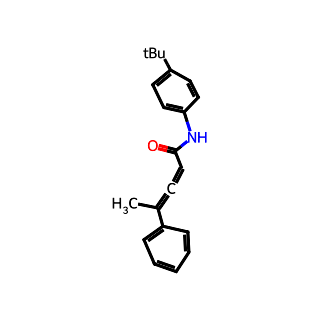 CC(=C=CC(=O)Nc1ccc(C(C)(C)C)cc1)c1ccccc1